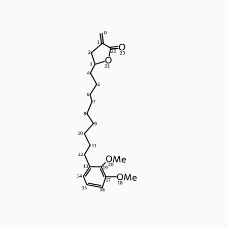 C=C1CC(CCCCCCCCCc2cccc(OC)c2OC)OC1=O